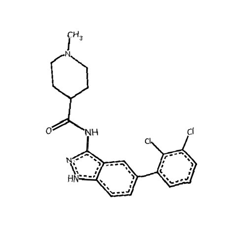 CN1CCC(C(=O)Nc2n[nH]c3ccc(-c4cccc(Cl)c4Cl)cc23)CC1